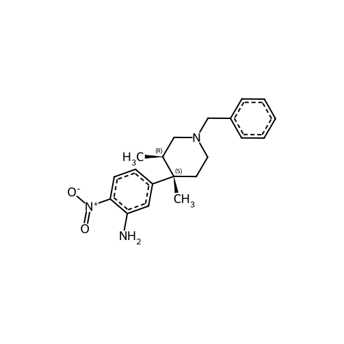 C[C@H]1CN(Cc2ccccc2)CC[C@]1(C)c1ccc([N+](=O)[O-])c(N)c1